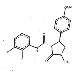 COc1ccc([C@H]2CN(C)C(=O)[C@@H]2C(=O)Nc2cccc(F)c2F)cc1